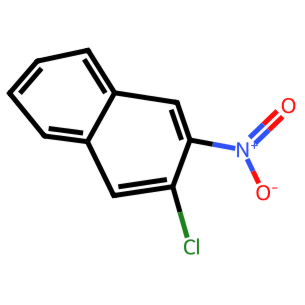 O=[N+]([O-])c1cc2ccccc2cc1Cl